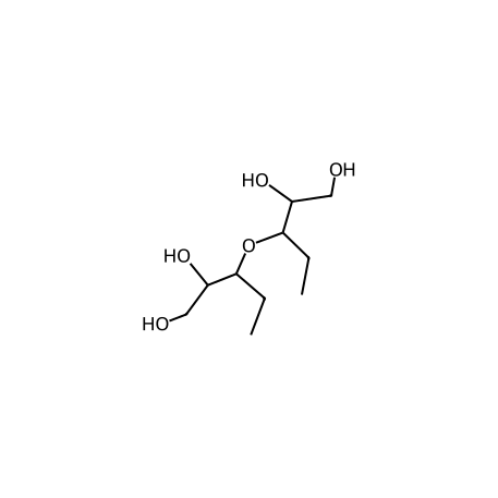 CCC(OC(CC)C(O)CO)C(O)CO